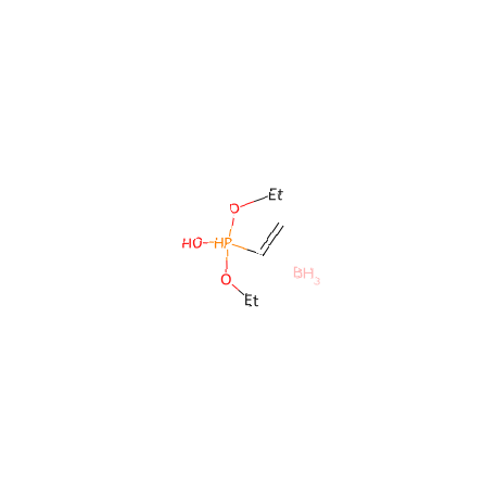 B.C=C[PH](O)(OCC)OCC